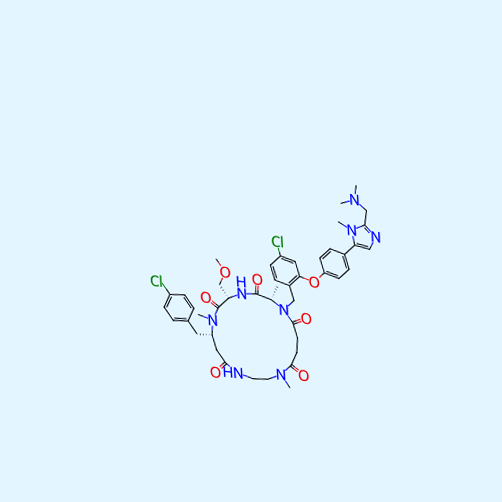 COC[C@@H]1NC(=O)[C@H](C)N(Cc2ccc(Cl)cc2Oc2ccc(-c3cnc(CN(C)C)n3C)cc2)C(=O)CCC(=O)N(C)CCNC(=O)C[C@H](Cc2ccc(Cl)cc2)N(C)C1=O